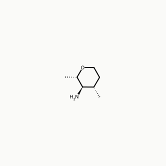 C[C@@H]1OCC[C@H](C)[C@H]1N